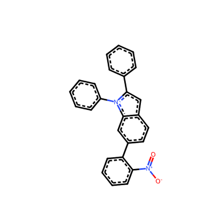 O=[N+]([O-])c1ccccc1-c1ccc2cc(-c3ccccc3)n(-c3ccccc3)c2c1